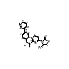 CC(C)C1COC(=O)N1c1ccnc(N[C@H](C)c2ccc(-c3cccnc3)cc2)n1